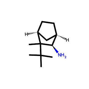 CC(C)(C)C1(C)[C@H]2CC[C@H](C2)[C@H]1N